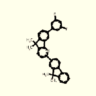 CC1(C)c2ccccc2-c2ccc(-c3ccc4c(n3)-c3cc(-c5cc(F)cc(F)c5)ccc3C4(C)C)cc21